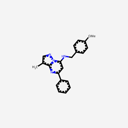 COc1ccc(CNc2cc(-c3ccccc3)nc3c(C)cnn23)cc1